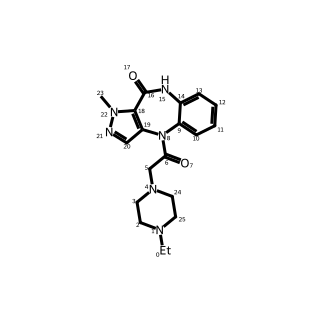 CCN1CCN(CC(=O)N2c3ccccc3NC(=O)c3c2cnn3C)CC1